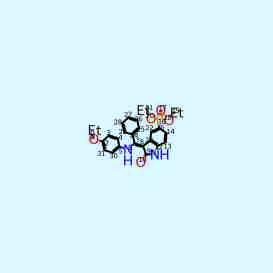 CCOc1ccc(N/C(=C2\C(=O)Nc3ccc(P(=O)(OCC)OCC)cc32)c2ccccc2)cc1